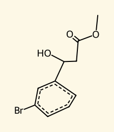 COC(=O)CC(O)c1cccc(Br)c1